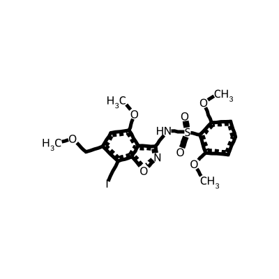 COCc1cc(OC)c2c(NS(=O)(=O)c3c(OC)cccc3OC)noc2c1I